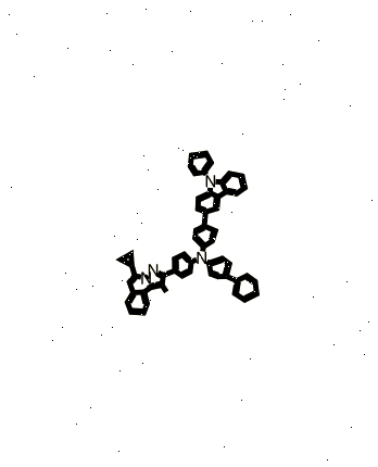 Cc1c(-c2ccc(N(c3ccc(-c4ccccc4)cc3)c3ccc(-c4ccc5c(c4)c4ccccc4n5-c4ccccc4)cc3)cc2)nn2c(C3CC3)cc3ccccc3c12